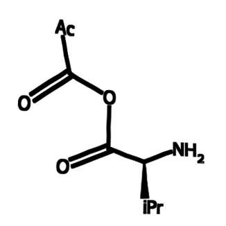 CC(=O)C(=O)OC(=O)[C@@H](N)C(C)C